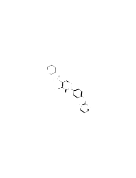 O=c1c(Cl)c(NC[C@H]2CCCOC2)cnn1-c1ccc(Oc2ncccn2)cc1